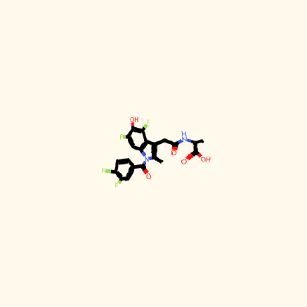 Cc1c(CC(=O)NC(C)C(=O)O)c2c(F)c(O)c(F)cc2n1C(=O)c1ccc(F)c(F)c1